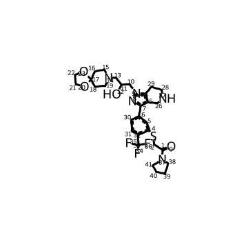 O=C(CSc1cc(-c2nn(CC(O)CN3CCC4(CC3)OCCO4)c3c2CNCC3)ccc1C(F)(F)F)N1CCCC1